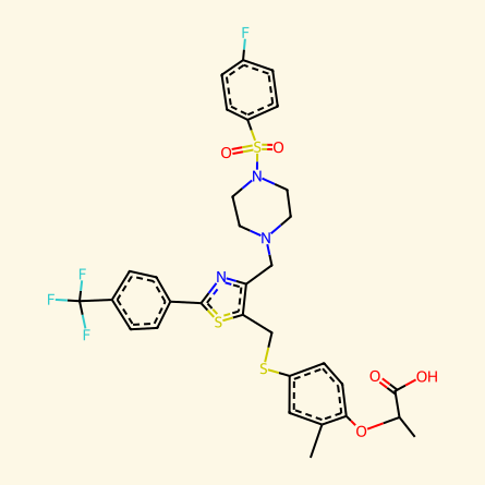 Cc1cc(SCc2sc(-c3ccc(C(F)(F)F)cc3)nc2CN2CCN(S(=O)(=O)c3ccc(F)cc3)CC2)ccc1OC(C)C(=O)O